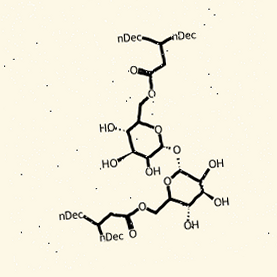 CCCCCCCCCCC(CCCCCCCCCC)CC(=O)OCC1O[C@H](O[C@H]2OC(COC(=O)CC(CCCCCCCCCC)CCCCCCCCCC)[C@@H](O)[C@H](O)C2O)C(O)[C@@H](O)[C@@H]1O